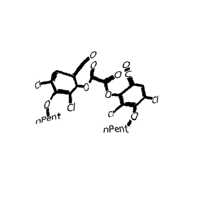 CCCCCOC1=C(Cl)C(OC(=O)C(=O)OC2C(=C=O)C=C(Cl)C(OCCCCC)=C2Cl)C(=C=O)C=C1Cl